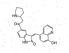 O=C1Nc2ccc(C(=O)CC3CCCCN3)cc2C1=Cc1ccc(O)c2ncccc12